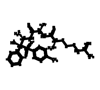 Cc1ccc(S(=O)(=O)[C@@](O)(c2ccccc2)[C@H](C)NC(=O)[C@@H](NC(=O)[C@@H](N)CCCNC(=N)N)C(C)C)cc1